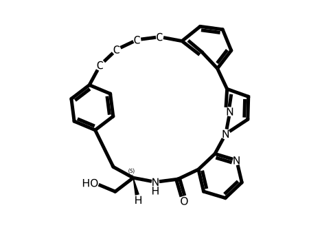 O=C1N[C@H](CO)Cc2ccc(cc2)CCCCc2cccc(c2)-c2ccn(n2)-c2ncccc21